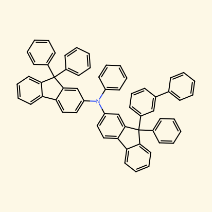 c1ccc(-c2cccc(C3(c4ccccc4)c4ccccc4-c4ccc(N(c5ccccc5)c5ccc6c(c5)C(c5ccccc5)(c5ccccc5)c5ccccc5-6)cc43)c2)cc1